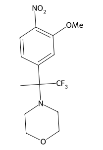 COc1cc(C(C)(N2CCOCC2)C(F)(F)F)ccc1[N+](=O)[O-]